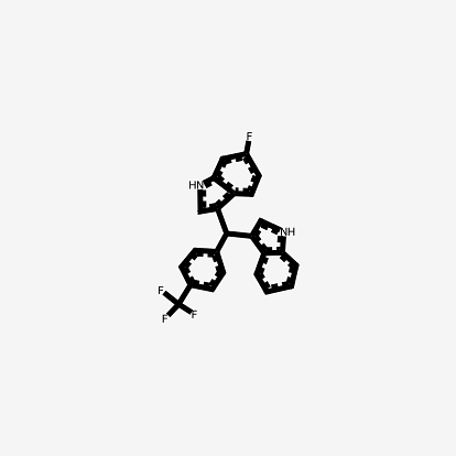 Fc1ccc2c(C(c3ccc(C(F)(F)F)cc3)c3c[nH]c4ccccc34)c[nH]c2c1